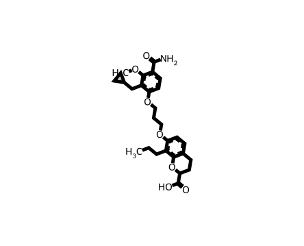 CCCc1c(OCCCOc2ccc(C(N)=O)c(OC)c2CC2CC2)ccc2c1OC(C(=O)O)CC2